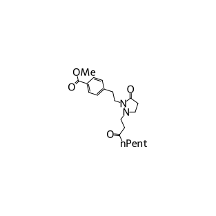 CCCCCC(=O)CCN1CCC(=O)N1CCc1ccc(C(=O)OC)cc1